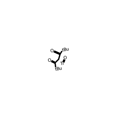 CC(C)(C)C(=O)CC(=O)C(C)(C)C.[O]=[Ti]